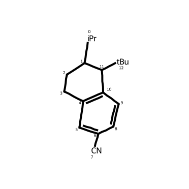 CC(C)C1CCc2cc(C#N)ccc2C1C(C)(C)C